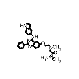 CN(CCOc1ccc2nc(-c3ccccc3)nc(Nc3ccc4[nH]ccc4c3)c2c1)CC(=O)N(C)C